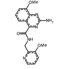 COc1cccnc1CNC(=O)c1nc(N)nc2c(OC)cccc12